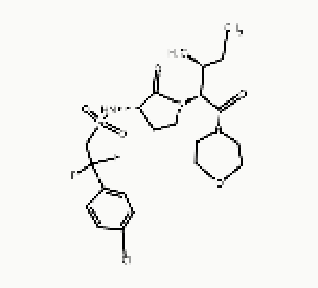 CC[C@H](C)[C@@H](C(=O)N1CCOCC1)N1CC[C@H](NS(=O)(=O)CC(F)(F)c2ccc(Cl)cc2)C1=O